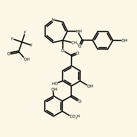 CC1(OC(=O)c2cc(O)c(C(=O)c3c(O)cccc3C(=O)O)c(O)c2)C=CC=NC=C1NC(=O)c1ccc(O)cc1.O=C(O)C(F)(F)F